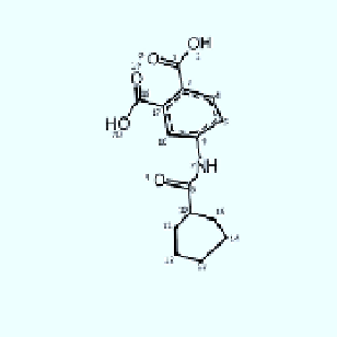 O=C(O)c1ccc(NC(=O)C2CCCCC2)cc1C(=O)O